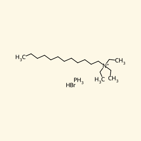 Br.CCCCCCCCCCCC[N+](CC)(CC)CC.P